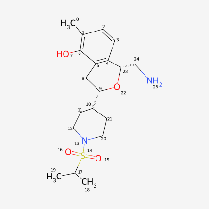 Cc1ccc2c(c1O)C[C@@H](C1CCN(S(=O)(=O)C(C)C)CC1)O[C@H]2CN